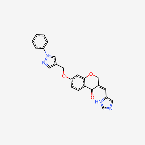 O=C1C(=Cc2cnc[nH]2)COc2cc(OCc3cnn(-c4ccccc4)c3)ccc21